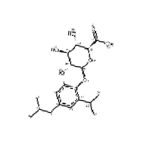 CC(C)Cc1ccc(O[C@@H]2O[C@H](C(=O)O)[C@@H](O)[C@H](O)[C@H]2O)c(C(C)C)c1